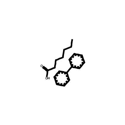 CCCCCCC(=O)O.c1ccc(-c2ccccc2)cc1